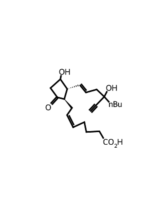 C#CC(O)(C/C=C/[C@H]1C(O)CC(=O)[C@@H]1C/C=C\CCCC(=O)O)CCCC